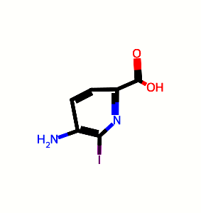 Nc1ccc(C(=O)O)nc1I